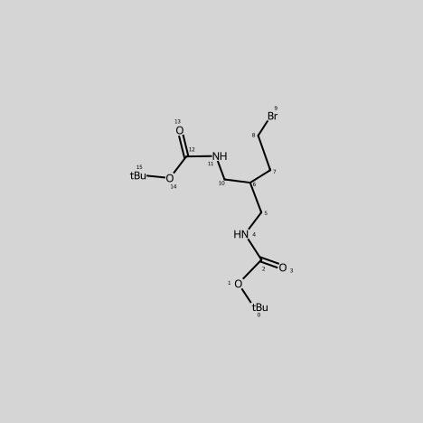 CC(C)(C)OC(=O)NCC(CCBr)CNC(=O)OC(C)(C)C